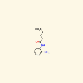 Nc1ccccc1NC(=O)CCCC(=O)O